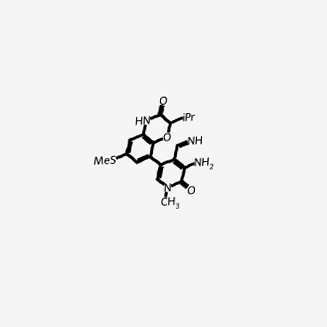 CSc1cc2c(c(-c3cn(C)c(=O)c(N)c3C=N)c1)OC(C(C)C)C(=O)N2